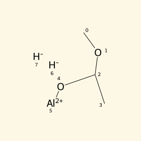 COC(C)[O][Al+2].[H-].[H-]